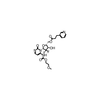 COCCOC(=O)Nc1ccnc(=O)n1[C@@H]1O[C@H](COC(=O)CCc2cccnc2)[C@@H](O)C1(F)F